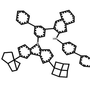 c1ccc(-c2ccc(Nc3cc4ccccc4cc3-c3cc(-c4ccccc4)cc(-n4c5ccc(C67CC8CC6CCC87)cc5c5cc(C67CC8CC9CC(C6)C987)ccc54)c3)cc2)cc1